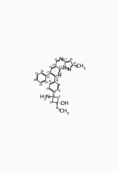 CC[C@]1(O)C[C@@](N)(c2ccc(-c3nc4c(cnc5cc(C)nn54)cc3-c3ccccc3)cc2)C1